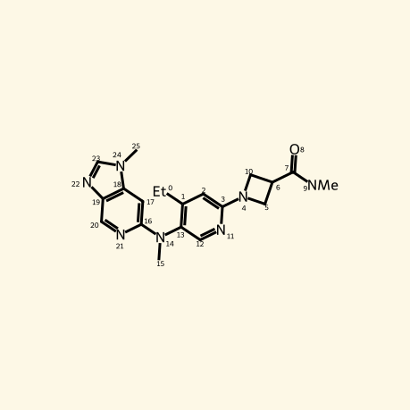 CCc1cc(N2CC(C(=O)NC)C2)ncc1N(C)c1cc2c(cn1)ncn2C